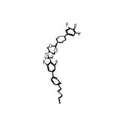 CCCCCc1ccc(-c2cc(F)c(C(F)(F)OC3COC(C4CCC(c5cc(F)c(F)c(F)c5)CC4)OC3)c(F)c2)cc1